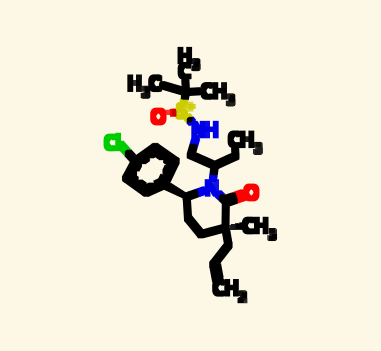 C=CC[C@@]1(C)CC[C@@H](c2ccc(Cl)cc2)N(C(CC)CN[S+]([O-])C(C)(C)C)C1=O